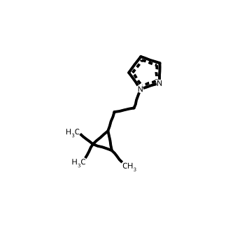 CC1C(CCn2cccn2)C1(C)C